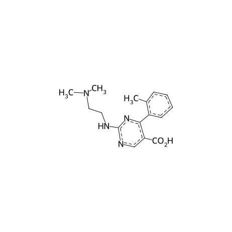 Cc1ccccc1-c1nc(NCCN(C)C)ncc1C(=O)O